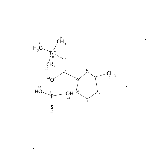 CC1CCCC(C(C[N+](C)(C)C)OP(O)(O)=S)C1